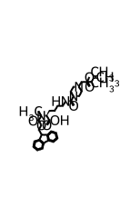 CN(C(=O)OCC1c2ccccc2-c2ccccc21)[C@@H](CCCCNC(=O)N1CCN(CC(=O)OC(C)(C)C)CC1)C(=O)O